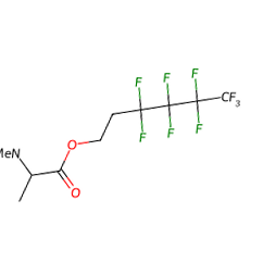 CNC(C)C(=O)OCCC(F)(F)C(F)(F)C(F)(F)C(F)(F)F